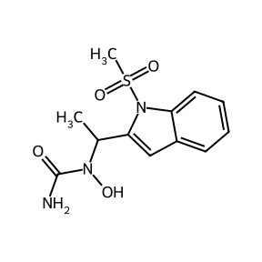 CC(c1cc2ccccc2n1S(C)(=O)=O)N(O)C(N)=O